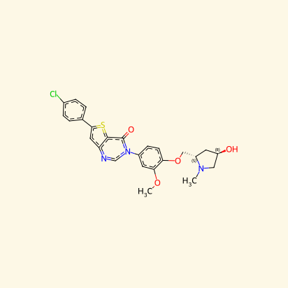 COc1cc(-n2cnc3cc(-c4ccc(Cl)cc4)sc3c2=O)ccc1OC[C@@H]1C[C@@H](O)CN1C